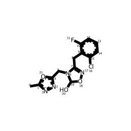 Cc1nnc(CN2C(Cc3c(F)cccc3Cl)=NOC2O)o1